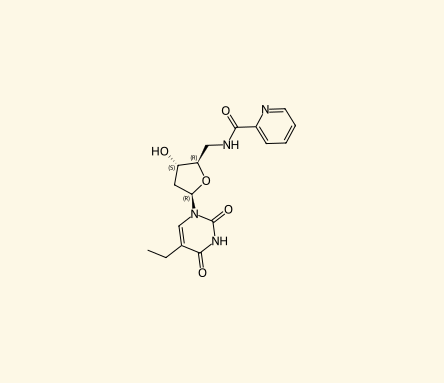 CCc1cn([C@H]2C[C@H](O)[C@@H](CNC(=O)c3ccccn3)O2)c(=O)[nH]c1=O